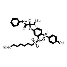 CCCCCCCCCCCCCCCCS(=O)(=O)Nc1cc(OC(Cl)(C(=O)Nc2ccccc2)C(=O)C(C)(C)C)ccc1S(=O)(=O)c1ccc(O)cc1